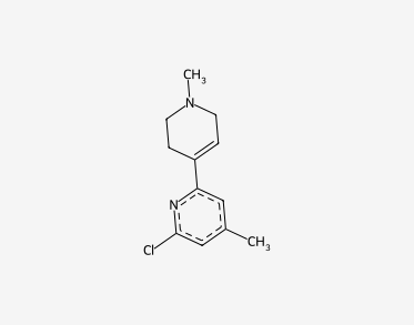 Cc1cc(Cl)nc(C2=CCN(C)CC2)c1